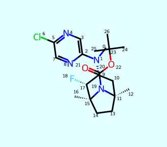 CN(c1cnc(Cl)cn1)[C@@H]1C[C@@]2(C)CC[C@@](C)([C@@H]1F)N2C(=O)OC(C)(C)C